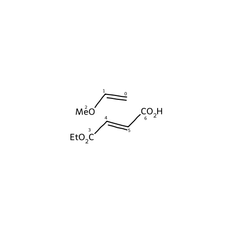 C=COC.CCOC(=O)C=CC(=O)O